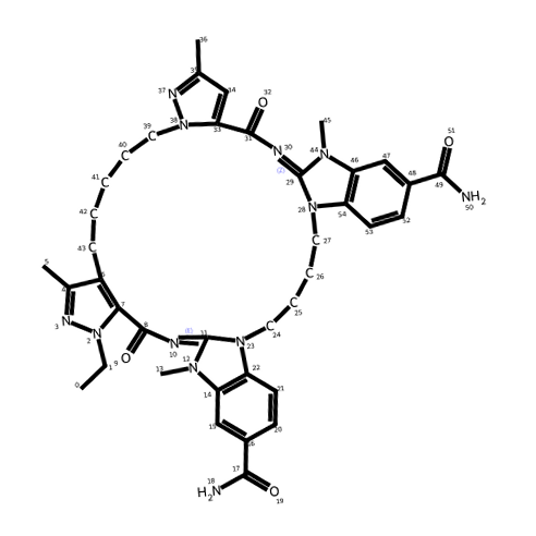 CCn1nc(C)c2c1C(=O)/N=C1\N(C)c3cc(C(N)=O)ccc3N1CCCCN1/C(=N\C(=O)c3cc(C)nn3CCCCC2)N(C)c2cc(C(N)=O)ccc21